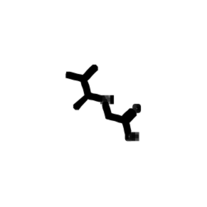 CC(C)[C@H](C)NCC(=O)O